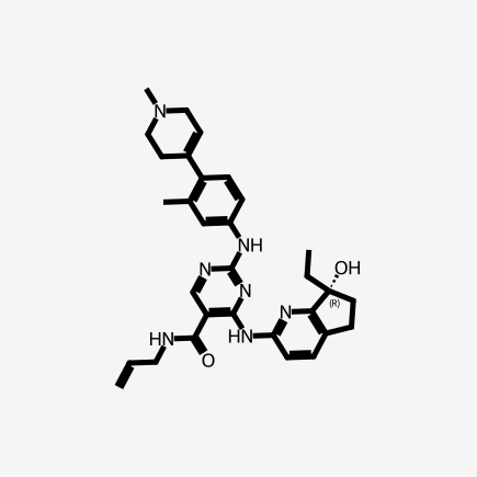 C=CCNC(=O)c1cnc(Nc2ccc(C3=CCN(C)CC3)c(C)c2)nc1Nc1ccc2c(n1)[C@@](O)(CC)CC2